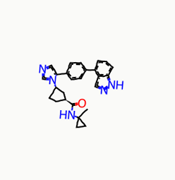 CC1(NC(=O)[C@H]2CC[C@@H](n3cncc3-c3ccc(-c4cccc5[nH]ncc45)cc3)C2)CC1